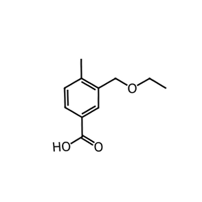 CCOCc1cc(C(=O)O)ccc1C